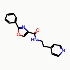 O=C(NCCc1ccncc1)c1coc(-c2ccccc2)n1